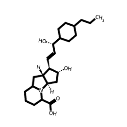 CCCC1CCC([C@@H](O)/C=C/[C@@H]2[C@H]3CC4CCCC(C(=O)O)N4[C@@H]3C[C@H]2O)CC1